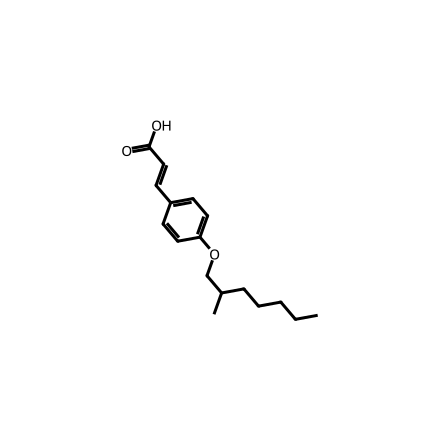 CCCCCC(C)COc1ccc(/C=C/C(=O)O)cc1